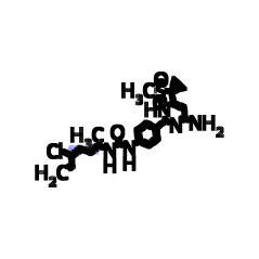 C=C/C(Cl)=C\C=C(/C)NC(=O)Nc1ccc(C2N=C(N)C=C(C3(S(C)(=O)=O)CC3)N2)cc1